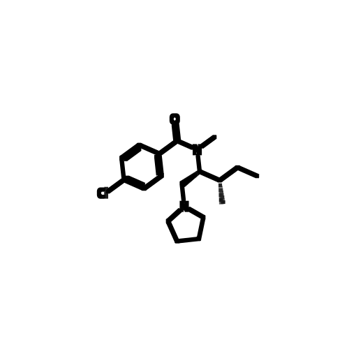 CC[C@H](C)[C@@H](CN1CCCC1)N(C)C(=O)c1ccc(Cl)cc1